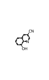 N#Cc1cnc2c(O)cccc2c1